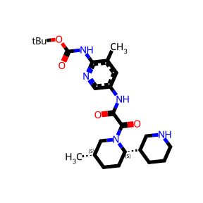 Cc1cc(NC(=O)C(=O)N2C[C@@H](C)CC[C@H]2C2CCCNC2)cnc1NC(=O)OC(C)(C)C